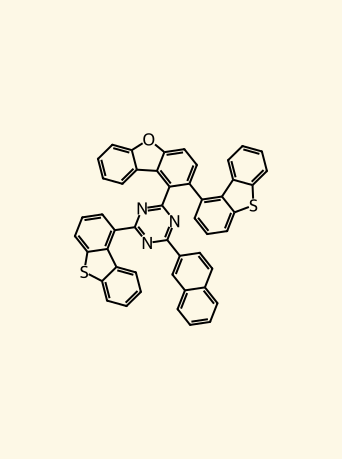 c1ccc2cc(-c3nc(-c4c(-c5cccc6sc7ccccc7c56)ccc5oc6ccccc6c45)nc(-c4cccc5sc6ccccc6c45)n3)ccc2c1